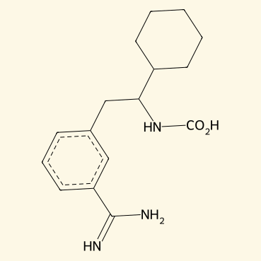 N=C(N)c1cccc(CC(NC(=O)O)C2CCCCC2)c1